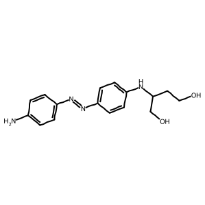 Nc1ccc(N=Nc2ccc(NC(CO)CCO)cc2)cc1